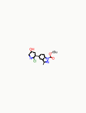 Cc1nn(C(=O)OC(C)(C)C)c2ccc(-c3cc(O)cnc3Cl)cc12